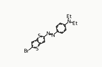 CCN(CC)c1ccc(N=Nc2cc3sc(Br)cc3s2)cc1